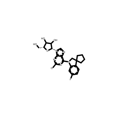 OC[C@H]1O[C@@H](n2cnc3c(N4CC5(CCCC5)c5ccc(F)cc54)nc(Cl)nc32)C(O)C1O